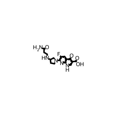 NC(=O)CCNC1CCN(c2nc3[nH]cc(C(=O)O)c(=O)c3cc2F)C1